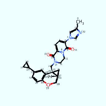 Cc1cn(-c2ccc3n(c2=O)CCN(C[C@@]24C[C@@H]2COc2ccc(C5CC5)cc24)C3=O)cn1